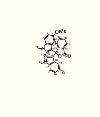 COc1ccc2c(c1)c(C1(c3c(C)n(C)c4ccc(C)cc34)OC(=O)c3cccnc31)c(C)n2C